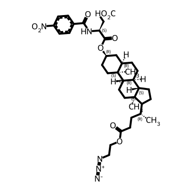 C[C@H](CCC(=O)OCCN=[N+]=[N-])C1CC[C@H]2[C@@H]3CC[C@@H]4C[C@H](OC(=O)[C@H](CC(=O)O)NC(=O)c5ccc([N+](=O)[O-])cc5)CC[C@]4(C)[C@H]3CC[C@]12C